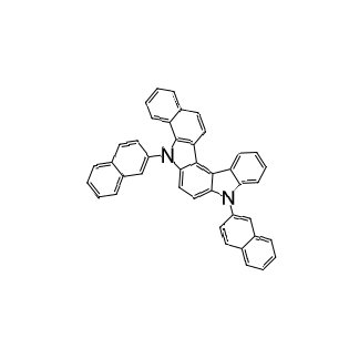 c1ccc2cc(-n3c4ccccc4c4c5c6ccc7ccccc7c6n(-c6ccc7ccccc7c6)c5ccc43)ccc2c1